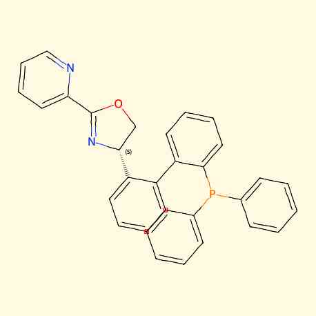 c1ccc(P(c2ccccc2)c2ccccc2-c2ccccc2[C@H]2COC(c3ccccn3)=N2)cc1